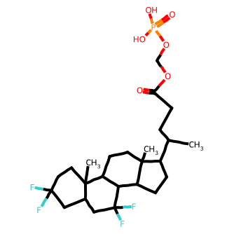 CC(CCC(=O)OCOP(=O)(O)O)C1CCC2C3C(CCC12C)C1(C)CCC(F)(F)CC1CC3(F)F